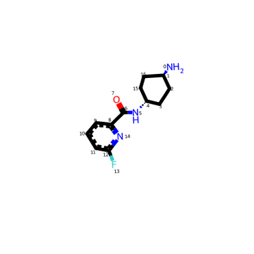 N[C@H]1CC[C@H](NC(=O)c2cccc(F)n2)CC1